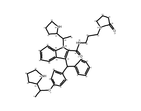 CC(Oc1ccc(C(c2ccccc2)c2c(C(=O)NCCCN3CCCC3=O)n(C(C)C3CCCN3)c3ccccc23)cc1)C1CCCN1